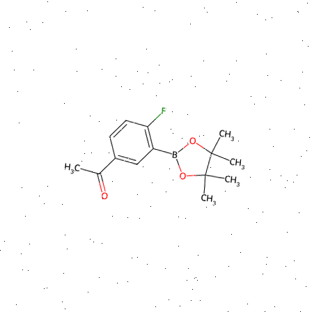 CC(=O)c1ccc(F)c(B2OC(C)(C)C(C)(C)O2)c1